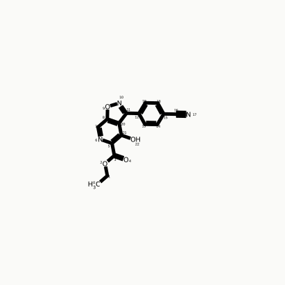 CCOC(=O)c1ncc2onc(-c3ccc(C#N)cc3)c2c1O